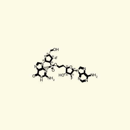 Nc1nc2c(ncn2[C@@H]2S[C@H](CO)[C@H](F)[C@H]2P(=O)(S)OCC[C@H]2O[C@@H](n3cnc4c(N)ncnc43)[C@@H](F)[C@@H]2O)c(=O)[nH]1